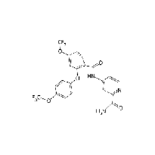 NC(=O)c1cc(NC(=O)c2ccc(OC(F)(F)F)cc2Oc2ccc(OC(F)(F)F)cc2)ccn1